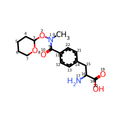 CN(OC1CCCCO1)C(=O)c1ccc(CC(N)C(=O)O)cc1